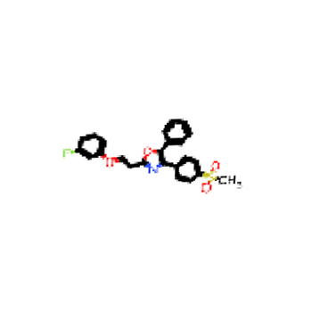 CS(=O)(=O)c1ccc(-c2nc(CCOc3cccc(F)c3)oc2-c2ccccc2)cc1